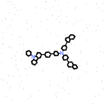 c1ccc(-n2c3ccccc3c3cc(-c4ccc(-c5ccc(N(c6ccc(-c7ccc8ccccc8c7)cc6)c6ccc(-c7ccc8ccccc8c7)cc6)cc5)cc4)ccc32)cc1